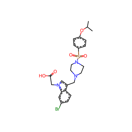 CC(C)Oc1ccc(S(=O)(=O)N2CCN(Cc3cn(CC(=O)O)c4cc(Br)ccc34)CC2)cc1